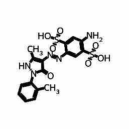 Cc1ccccc1-n1[nH]c(C)c(N=Nc2cc(S(=O)(=O)O)c(N)cc2S(=O)(=O)O)c1=O